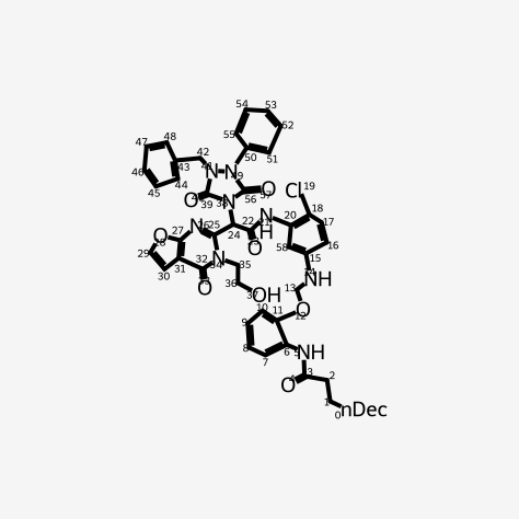 CCCCCCCCCCCCC(=O)Nc1ccccc1OCNc1ccc(Cl)c(NC(=O)C(c2nc3occc3c(=O)n2CCO)n2c(=O)n(Cc3ccccc3)n(-c3ccccc3)c2=O)c1